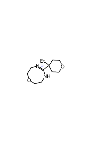 CCC1(/C2=N/CCOCCN2)CCOCC1